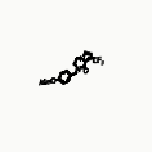 COc1ccc(CN2CCn3ccc(C(F)(F)F)c3C2=O)cc1